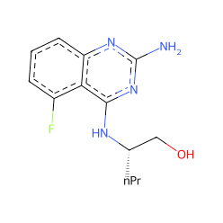 CCC[C@@H](CO)Nc1nc(N)nc2cccc(F)c12